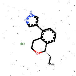 CNC[C@@H]1OCCc2c(-c3cn[nH]c3)cccc21.Cl